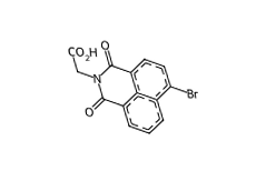 O=C(O)CN1C(=O)c2cccc3c(Br)ccc(c23)C1=O